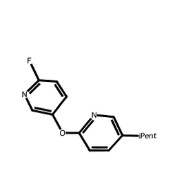 CCCC(C)c1ccc(Oc2ccc(F)nc2)nc1